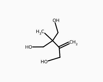 C=C(CO)C(C)(CO)CO